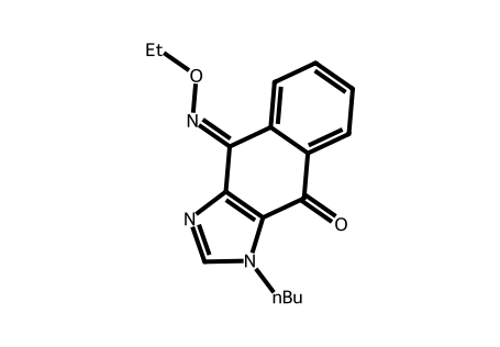 CCCCn1cnc2c1C(=O)c1ccccc1C2=NOCC